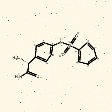 C[C@@H](C(N)=O)c1ccc(NS(=O)(=O)c2ccccc2)cc1